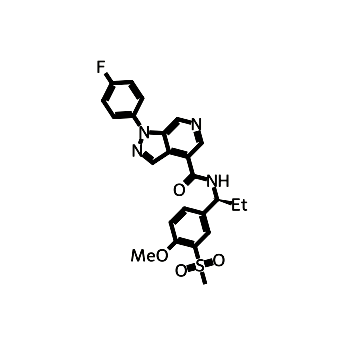 CC[C@H](NC(=O)c1cncc2c1cnn2-c1ccc(F)cc1)c1ccc(OC)c(S(C)(=O)=O)c1